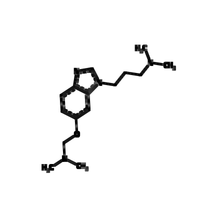 CN(C)CCCn1cnc2ccc(OCN(C)C)cc21